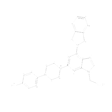 O=C(O)Cn1cnc2c(N3Cc4ccccc4C3)nc(N3CCN(c4ccc(O)cc4)CC3)nc21